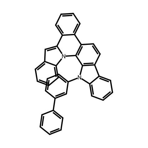 c1ccc(-c2cccc(-n3c4ccccc4c4ccc5c6ccccc6c6cc7ccccc7n6c5c43)c2)cc1